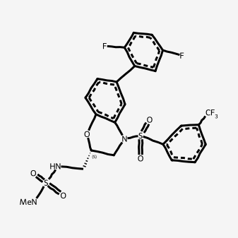 CNS(=O)(=O)NC[C@H]1CN(S(=O)(=O)c2cccc(C(F)(F)F)c2)c2cc(-c3cc(F)ccc3F)ccc2O1